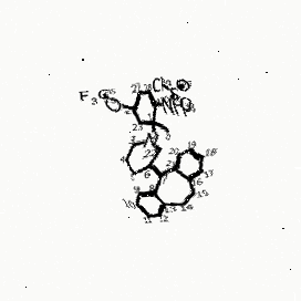 CC1(N2CCCC(C3c4ccccc4CCc4ccccc43)C2)CC(OC(F)(F)F)=CC=C1NS(=O)(=O)Cl